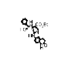 CCOC(=O)c1cnc(Nc2ccc3c(c2)CCC(=O)N3)nc1N[C@H](CO)c1ccccc1